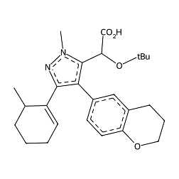 CC1CCCC=C1c1nn(C)c(C(OC(C)(C)C)C(=O)O)c1-c1ccc2c(c1)CCCO2